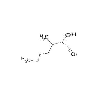 C#CC(O)C(C)CCCC